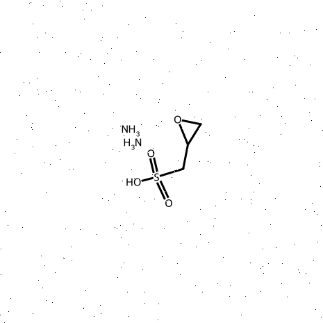 N.N.O=S(=O)(O)CC1CO1